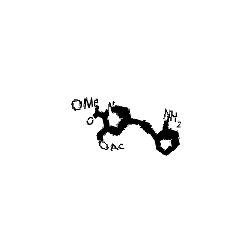 COC(=O)c1ncc(C#Cc2ccccc2N)cc1COC(C)=O